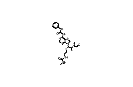 CNC(=O)NCCO[C@H](C(C)NC=O)n1cnc2c(NC(=O)Nc3ccccc3)ncnc21